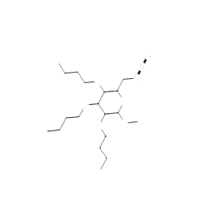 CCCCOC1C(CN=[N+]=[N-])OC(OC)C(OCCCC)C1OCCCC